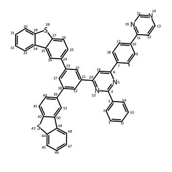 c1ccc(-c2nc(-c3ccc(-c4ccncn4)cc3)cc(-c3cc(-c4ccc5sc6ccccc6c5c4)cc(-c4ccc5sc6ccccc6c5c4)c3)n2)cc1